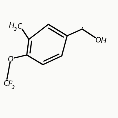 Cc1cc([CH]O)ccc1OC(F)(F)F